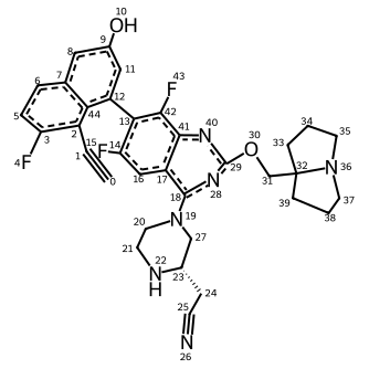 C#Cc1c(F)ccc2cc(O)cc(-c3c(F)cc4c(N5CCN[C@@H](CC#N)C5)nc(OCC56CCCN5CCC6)nc4c3F)c12